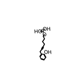 Oc1ccccc1CC#CCCCCOP(O)O